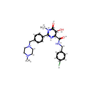 CN1CCN(Cc2ccc(-c3nc(C(=O)NCc4ccc(F)cc4)c(O)c(=O)n3C)cc2)CC1